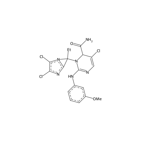 CCC1(N2C(Nc3cccc(OC)c3)=NC=C(Cl)C2C(N)=O)c2nc(Cl)c(Cl)n21